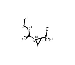 CCOC(=O)[C@H]1CC1B(F)F